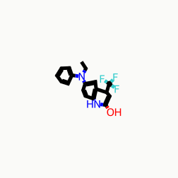 CCN(c1ccccc1)c1ccc2c(c1)C(C(F)(F)F)C=C(O)N2